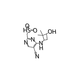 CC1(C)C(O)CC1Nc1nc(C[SH](=O)=O)ncc1C#N